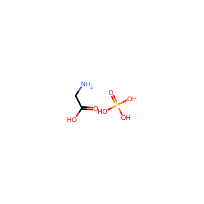 NCC(=O)O.O=P(O)(O)O